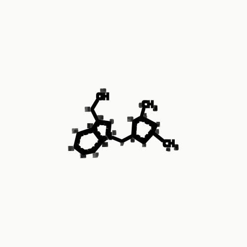 Cc1cc(C)cc(Cn2cc(CO)c3ccccc32)c1